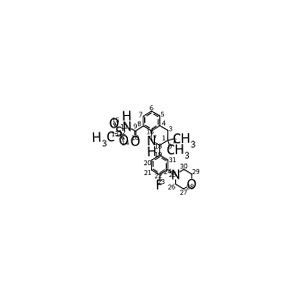 CC1(C)Cc2cccc(C(=O)NS(C)(=O)=O)c2NC1c1ccc(F)c(N2CCOCC2)c1